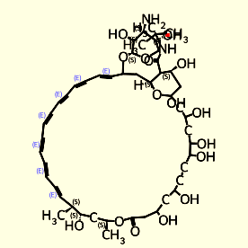 C[C@H]1C[C@H](O)[C@@H](C)/C=C/C=C/C=C/C=C/C=C/C=C/C=C/C(O[C@@H]2OC[C@@H](O)[C@H](N)[C@@H]2O)C[C@@H]2OC(O)(CC(O)CC(O)C(O)CCC(O)CC(O)CC(=O)O1)C[C@H](O)C2C(=O)NC(C)(C)C